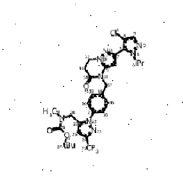 CC(C)n1ncc(Cl)c1-c1cc2n(n1)CCC(=O)N2Cc1ccc(-n2nc(C(F)(F)F)cc2CN(C)C(=O)OC(C)(C)C)cc1